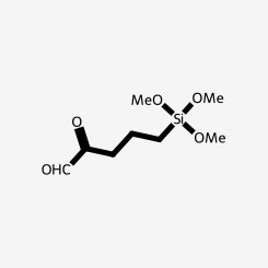 CO[Si](CCCC(=O)C=O)(OC)OC